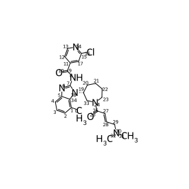 Cc1cccc2nc(NC(=O)c3ccnc(Cl)c3)n([C@@H]3CCCCN(C(=O)C=CCN(C)C)C3)c12